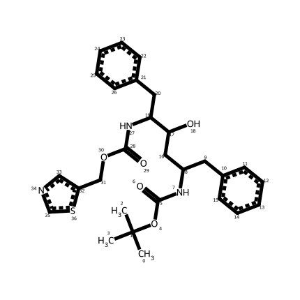 CC(C)(C)OC(=O)NC(Cc1ccccc1)CC(O)C(Cc1ccccc1)NC(=O)OCc1cncs1